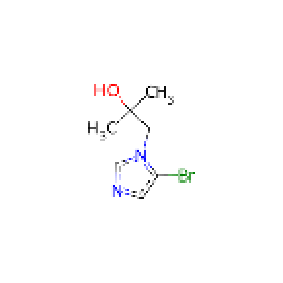 CC(C)(O)Cn1cncc1Br